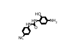 N#Cc1ccc(NC(=O)Nc2ccc(N)cc2O)cc1